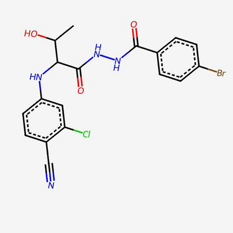 CC(O)C(Nc1ccc(C#N)c(Cl)c1)C(=O)NNC(=O)c1ccc(Br)cc1